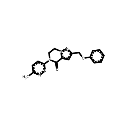 Cc1ccc(N2CCn3nc(COc4ccccc4)cc3C2=O)nn1